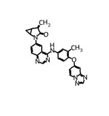 C=C1C(=O)N(c2ccc3ncnc(Nc4ccc(Oc5ccn6ncnc6c5)c(C)c4)c3c2)C2CC12